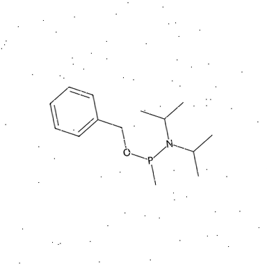 CC(C)N(C(C)C)P(C)OCc1ccccc1